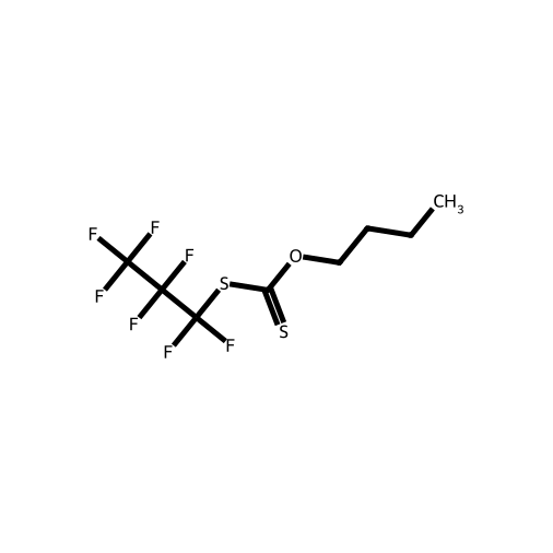 CCCCOC(=S)SC(F)(F)C(F)(F)C(F)(F)F